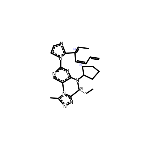 C=C/C=C\C(=C/C)c1nccn1-c1ncc2c(n1)N(C1CCCC1)[C@H](CC)c1nnc(C)n1-2